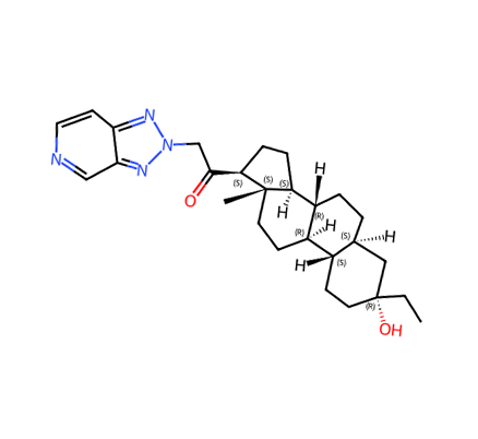 CC[C@@]1(O)CC[C@H]2[C@@H](CC[C@@H]3[C@@H]2CC[C@]2(C)[C@@H](C(=O)Cn4nc5ccncc5n4)CC[C@@H]32)C1